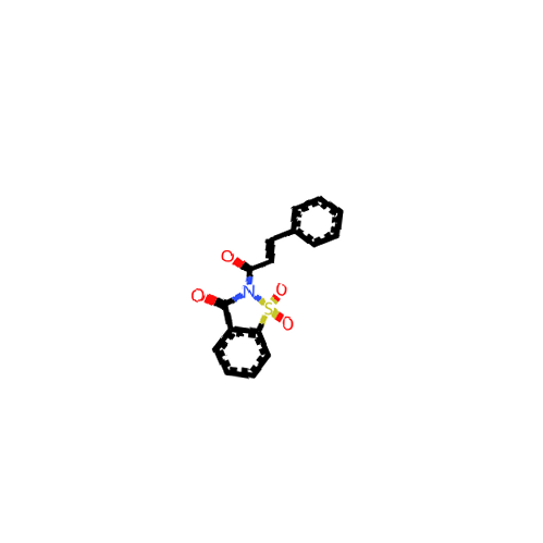 O=C(/C=C/c1ccccc1)N1C(=O)c2ccccc2S1(=O)=O